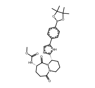 COC(=O)N[C@H]1CCC(=O)N2CCC[C@@H](c3ncc(-c4ccc(B5OC(C)(C)C(C)(C)O5)cc4)[nH]3)N2C1=O